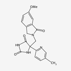 COc1ccc2c(c1)C(=O)N(CC1(c3ccc(C)cn3)NC(=O)NC1=O)C2